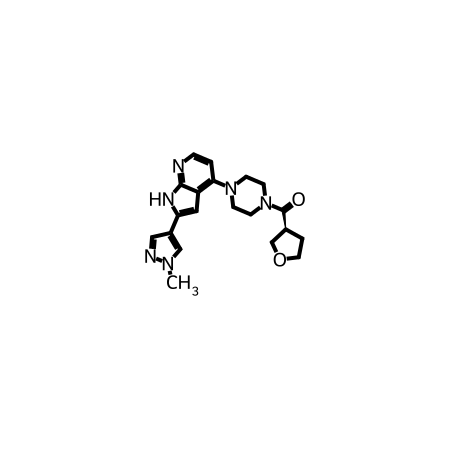 Cn1cc(-c2cc3c(N4CCN(C(=O)[C@H]5CCOC5)CC4)ccnc3[nH]2)cn1